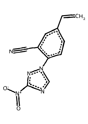 C=Cc1ccc(-n2cnc([N+](=O)[O-])n2)c(C#N)c1